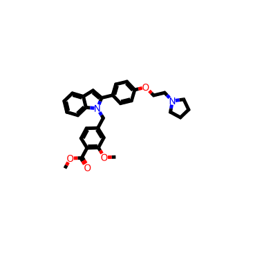 COC(=O)c1ccc(Cn2c(-c3ccc(OCCN4CCCC4)cc3)cc3ccccc32)cc1OC